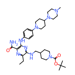 CCc1nc(C(N)=O)c(Nc2ccc(N3CCC(N4CCN(C)CC4)CC3)cc2)nc1NCC1CCN(C(=O)OC(C)(C)C)CC1